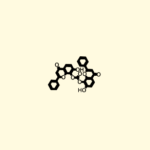 O=C(Oc1c(O)ccc2c(=O)cc(-c3ccccc3)oc12)Oc1c(O)ccc2c(=O)cc(-c3ccccc3)oc12